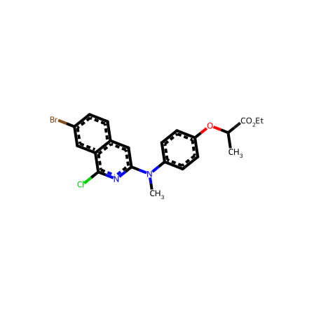 CCOC(=O)C(C)Oc1ccc(N(C)c2cc3ccc(Br)cc3c(Cl)n2)cc1